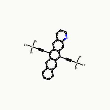 CC(C)[Si](C#Cc1c2cc3ccccc3cc2c(C#C[Si](C(C)C)(C(C)C)C(C)C)c2cc3ncccc3cc12)(C(C)C)C(C)C